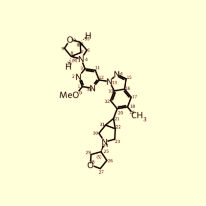 COc1nc(N2C[C@H]3C[C@@H]2CO3)cc(-n2ncc3cc(C)c(C4C5CN([C@H]6CCOC6)CC54)cc32)n1